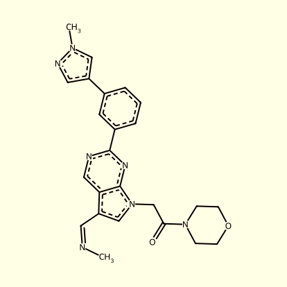 C/N=C\c1cn(CC(=O)N2CCOCC2)c2nc(-c3cccc(-c4cnn(C)c4)c3)ncc12